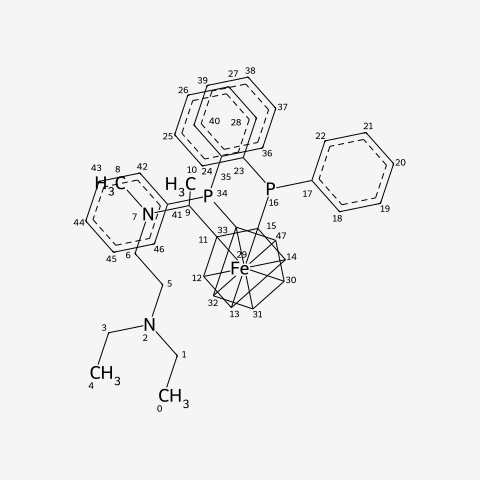 CCN(CC)CCN(C)C(C)[C]12[CH]3[CH]4[CH]5[C]1(P(c1ccccc1)c1ccccc1)[Fe]43521678[CH]2[CH]1[CH]6[C]7(P(c1ccccc1)c1ccccc1)[CH]28